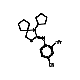 CCCc1cc(C#N)ccc1N=C1SCC2(CCCC2)N1C1CCCC1